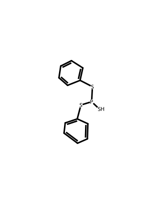 SP(Sc1ccccc1)Sc1ccccc1